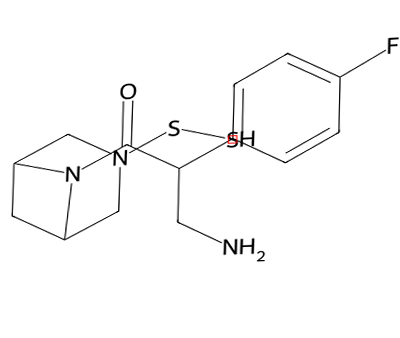 NCC(C(=O)N1C2CC1CN(SS)C2)c1ccc(F)cc1